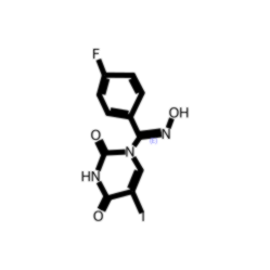 O=c1[nH]c(=O)n(/C(=N/O)c2ccc(F)cc2)cc1I